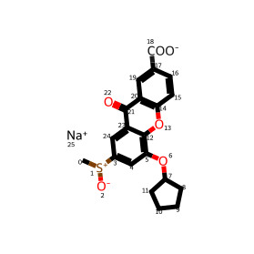 C[S+]([O-])c1cc(OC2CCCC2)c2oc3ccc(C(=O)[O-])cc3c(=O)c2c1.[Na+]